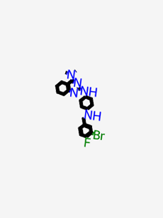 CN(C)c1nc(NC2CCC(NCc3ccc(F)c(Br)c3)CC2)nc2c1CCCC2